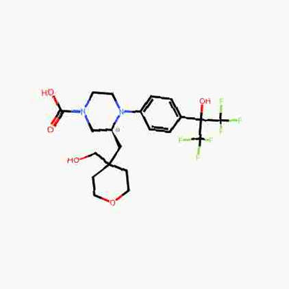 O=C(O)N1CCN(c2ccc(C(O)(C(F)(F)F)C(F)(F)F)cc2)[C@@H](CC2(CO)CCOCC2)C1